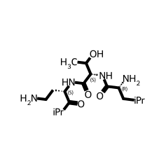 CC(C)C[C@@H](N)C(=O)N[C@H](C(=O)N[C@@H](CCN)C(=O)C(C)C)C(C)O